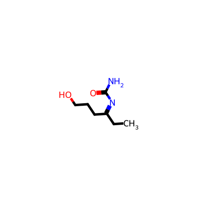 CCC(CCCO)=NC(N)=O